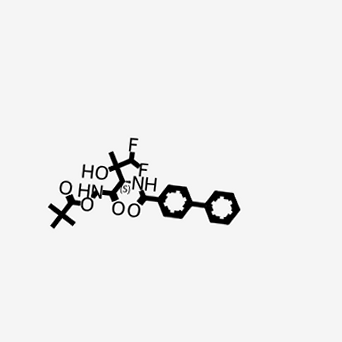 CC(C)(C)C(=O)ONC(=O)[C@@H](NC(=O)c1ccc(-c2ccccc2)cc1)C(C)(O)C(F)F